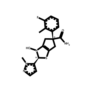 Cc1c(F)cccc1[C@@]1(C(N)=O)CC2=C(C1)N(O)[C@H](c1ccnn1C)S2